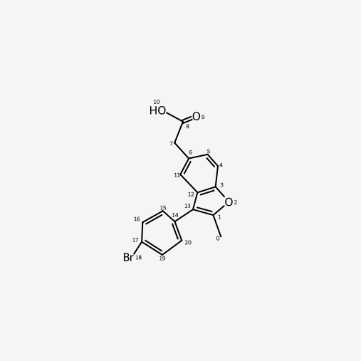 Cc1oc2ccc(CC(=O)O)cc2c1-c1ccc(Br)cc1